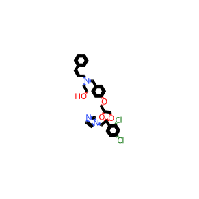 OCCN(C/C=C\c1ccccc1)Cc1ccc(OCC2COC(Cn3ccnc3)(c3ccc(Cl)cc3Cl)O2)cc1